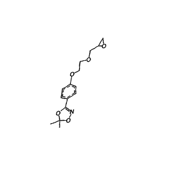 CC1(C)ON=C(c2ccc(OCCOCC3CO3)cc2)O1